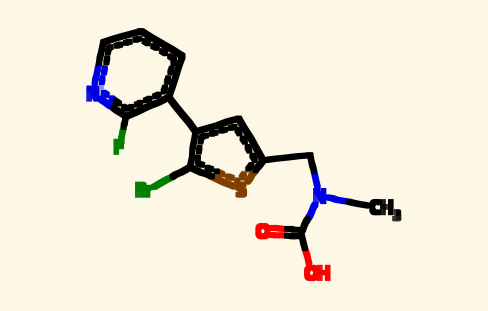 CN(Cc1cc(-c2cccnc2F)c(Br)s1)C(=O)O